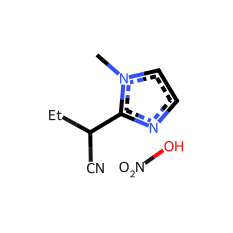 CCC(C#N)c1nccn1C.O=[N+]([O-])O